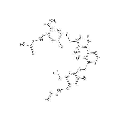 COc1nc(OCc2cccc(-c3cccc(COc4nc(OC)c(CNCC(=O)O)cc4Cl)c3C)c2C)c(Cl)cc1CNCC=O